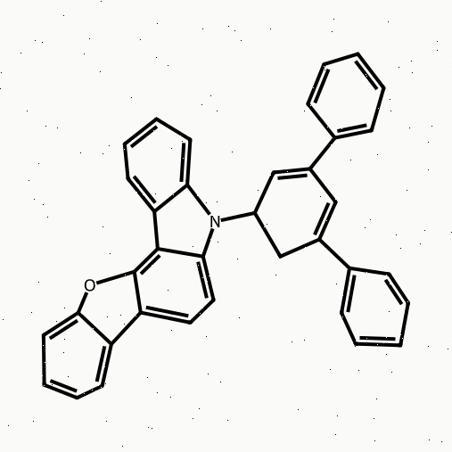 C1=C(c2ccccc2)C=C(c2ccccc2)CC1n1c2ccccc2c2c3oc4ccccc4c3ccc21